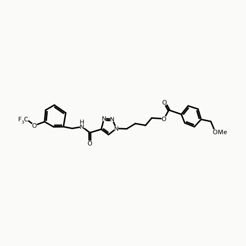 COCc1ccc(C(=O)OCCCCn2cc(C(=O)NCc3cccc(OC(F)(F)F)c3)nn2)cc1